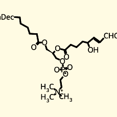 CCCCCCCCCCCCCCCC(=O)OC[C@H](COP(=O)([O-])OCC[N+](C)(C)C)OC(=O)CCCC(O)C=CC=O